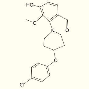 COc1c(O)ccc(C=O)c1N1CCC(Oc2ccc(Cl)cc2)CC1